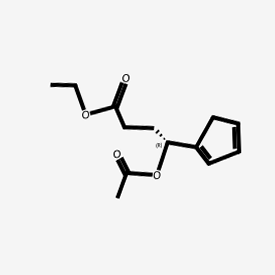 CCOC(=O)CC[C@@H](OC(C)=O)C1=CC=CC1